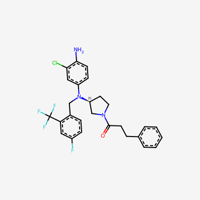 Nc1ccc(N(Cc2ccc(F)cc2C(F)(F)F)[C@H]2CCN(C(=O)CCc3ccccc3)C2)cc1Cl